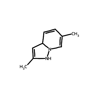 CC1=CN2NC(C)=CC2C=C1